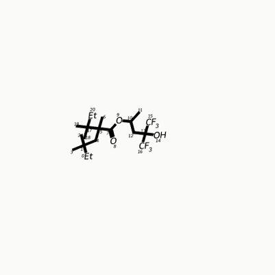 CCC(C)(C)CC(C)(C(=O)OC(C)CC(O)(C(F)(F)F)C(F)(F)F)C(C)(C)CC